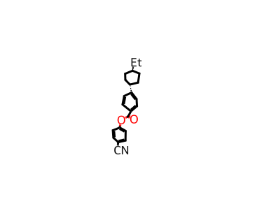 CC[C@H]1CC[C@H](c2ccc(C(=O)Oc3ccc(C#N)cc3)cc2)CC1